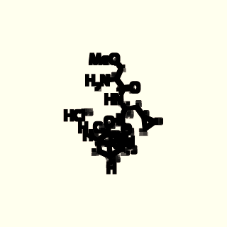 COCC(N)C(=O)N[C@@H](CC1CC1)B1O[C@@H]2C[C@@H]3C[C@@H](C3(C)C)[C@]2(C)O1.Cl